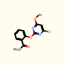 COC(=O)c1ccccc1Oc1nc(Cl)cc(OC(C)C)n1